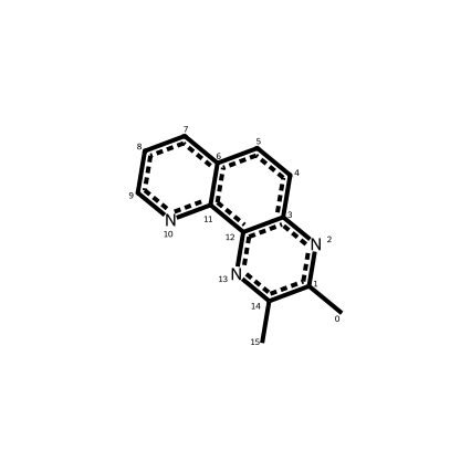 Cc1nc2ccc3cccnc3c2nc1C